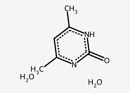 Cc1cc(C)[nH]c(=O)n1.O.O